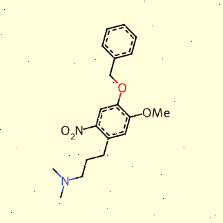 COc1cc([CH]CCN(C)C)c([N+](=O)[O-])cc1OCc1ccccc1